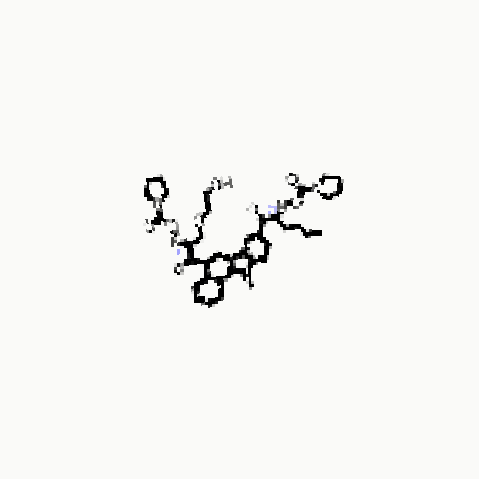 C=CCC/C(=N\OC(=O)N1CCCC1)C(=O)c1ccc2c(c1)c1cc(C(=O)/C(COCCO)=N/OC(=O)N3CCCC3)c3ccccc3c1n2C